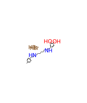 Br.Br.Cc1ccc(CCNCCCCCCNCCc2ccc(O)c(O)c2)cc1